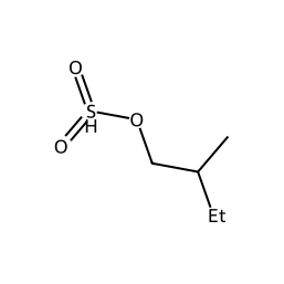 CCC(C)CO[SH](=O)=O